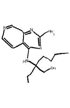 CCCCC(CC)(CO)Nc1nc(N)nc2cnccc12